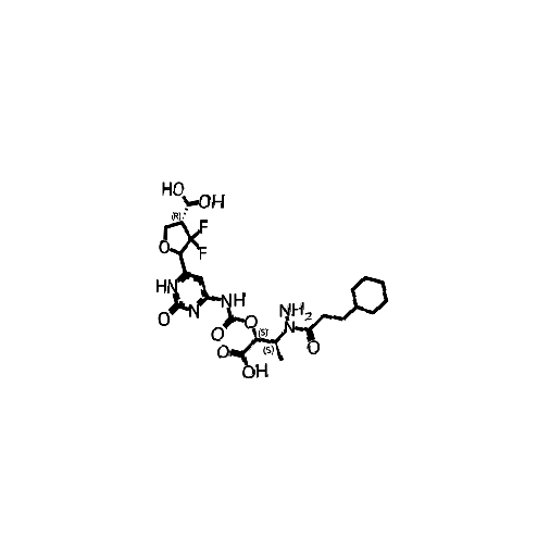 C[C@@H]([C@H](OC(=O)Nc1cc(C2OC[C@H](C(O)O)C2(F)F)[nH]c(=O)n1)C(=O)O)N(N)C(=O)CCC1CCCCC1